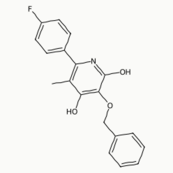 Cc1c(-c2ccc(F)cc2)nc(O)c(OCc2ccccc2)c1O